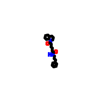 O=C(CCCCC(=O)N1CCCC2CCCCC21)NCCCc1ccccc1